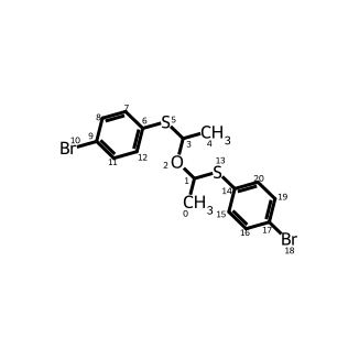 CC(OC(C)Sc1ccc(Br)cc1)Sc1ccc(Br)cc1